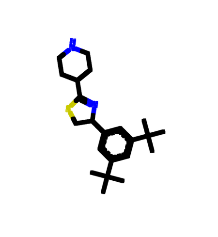 CC(C)(C)c1cc(C2CSC(C3CCNCC3)=N2)cc(C(C)(C)C)c1